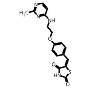 Cc1nccc(NCCOc2ccc(C=C3SC(=O)NC3=O)cc2)n1